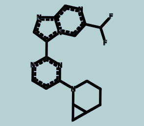 FC(F)c1cn2c(-c3nccc(N4CCCC5CC54)n3)cnc2cn1